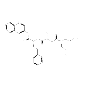 NCCN(CCN)C(=O)C[C@H](N)C(=O)N[C@@H](CCc1ccccc1)C(=O)Nc1cnc2ccccc2c1